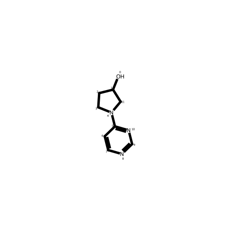 OC1CCN(c2ccncn2)C1